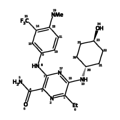 CCc1nc(C(N)=O)c(Nc2ccc(NC)c(C(F)(F)F)c2)nc1N[C@H]1CC[C@H](O)CC1